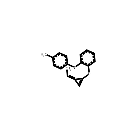 C/C=C1C=C/1Oc1ccccc1Sc1ccc(C)cc1